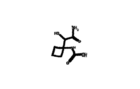 NC(=O)C(O)C1(NC(=O)O)CCC1